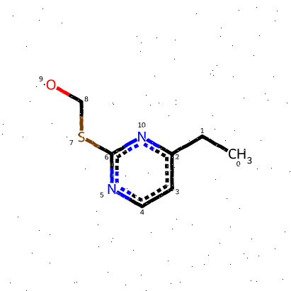 CCc1ccnc(SC[O])n1